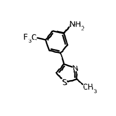 Cc1nc(-c2cc(N)cc(C(F)(F)F)c2)cs1